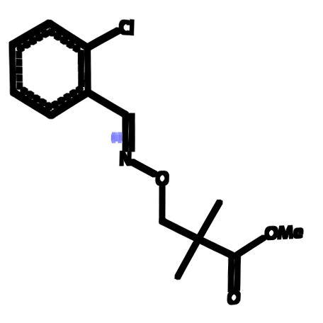 COC(=O)C(C)(C)CO/N=C/c1ccccc1Cl